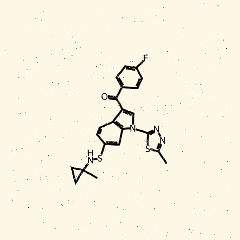 Cc1nnc(-n2cc(C(=O)c3ccc(F)cc3)c3ccc(SNC4(C)CC4)cc32)s1